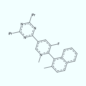 Cc1ccc2ccccc2c1-c1c(F)cc(-c2nc(C(C)C)nc(C(C)C)n2)c[n+]1C